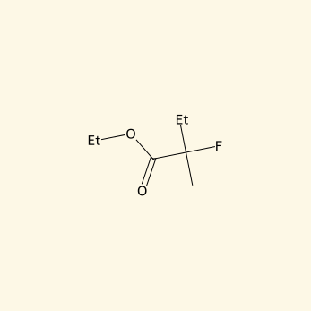 CCOC(=O)C(C)(F)CC